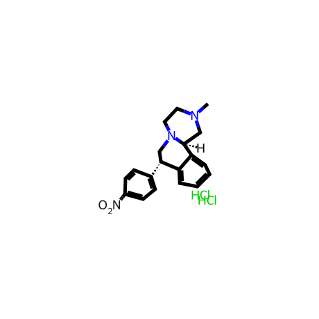 CN1CCN2C[C@@H](c3ccc([N+](=O)[O-])cc3)c3ccccc3[C@@H]2C1.Cl.Cl